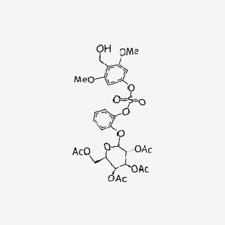 COc1cc(OS(=O)(=O)Oc2ccccc2OC2O[C@H](COC(C)=O)[C@H](OC(C)=O)[C@H](OC(C)=O)[C@H]2OC(C)=O)cc(OC)c1CO